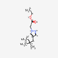 CCOC(=O)Cn1cc(CC(C)(C)C)cn1